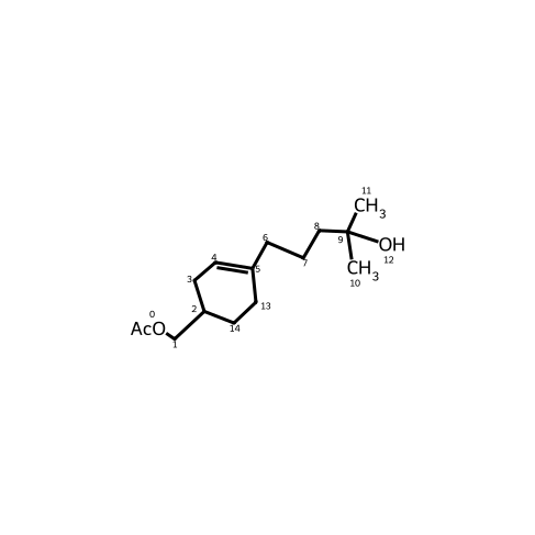 CC(=O)OCC1CC=C(CCCC(C)(C)O)CC1